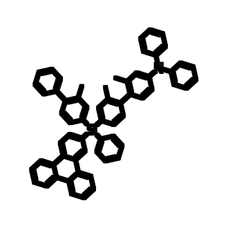 Cc1cc([Si](c2ccccc2)(c2ccc(-c3ccc(N(c4ccccc4)c4ccccc4)cc3C)c(C)c2)c2ccc3c4ccccc4c4ccccc4c3c2)ccc1-c1ccccc1